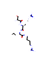 N=C(N)NCCC[C@H](NC(=O)[C@H](CCC(=O)O)NC(=O)[C@H](CCCNC(=N)N)NC(=O)[C@@H](N)CO)C(=O)O